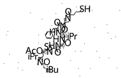 CC[C@H](C)CC(=O)N(C)[C@H](C[C@@H](OC(C)=O)c1nc(C(=O)N[C@@H](C)C(=O)N[C@H](C(=O)N[C@@H](CC2C=CC=CC2)C(=O)N=C2CN(C(=O)CCCS)C2)C(C)C)cs1)C(C)C